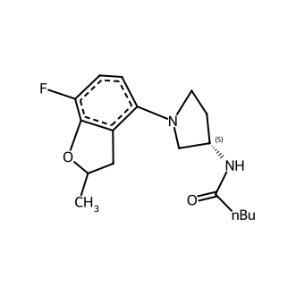 CCCCC(=O)N[C@H]1CCN(c2ccc(F)c3c2CC(C)O3)C1